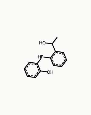 CC(O)c1ccccc1Pc1ccccc1O